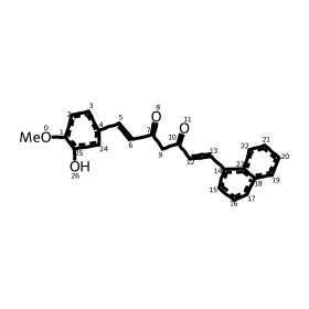 COc1ccc(C=CC(=O)CC(=O)C=Cc2cccc3ccccc23)cc1O